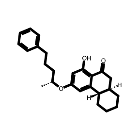 C[C@H](CCCc1ccccc1)Oc1cc(O)c2c(c1)[C@H]1CCCC[C@@H]1CC2=O